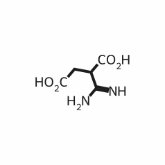 N=C(N)C(CC(=O)O)C(=O)O